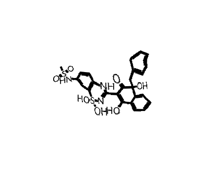 CS(=O)(=O)Nc1ccc2c(c1)S(O)(O)N=C(C1=C(O)c3ccccc3C(O)(Cc3ccccc3)C1=O)N2